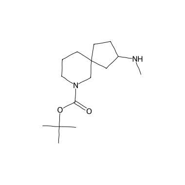 CNC1CCC2(CCCN(C(=O)OC(C)(C)C)C2)C1